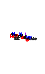 CNC(=O)Nc1ccc(Oc2ccnc3cc(OC[C@H](O)CN4CCCC4)c(C#N)cc23)cc1CI